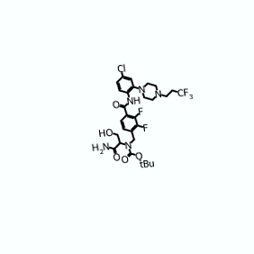 CC(C)(C)OC(=O)N(Cc1ccc(C(=O)Nc2ccc(Cl)cc2N2CCN(CCC(F)(F)F)CC2)c(F)c1F)C(CO)C(N)=O